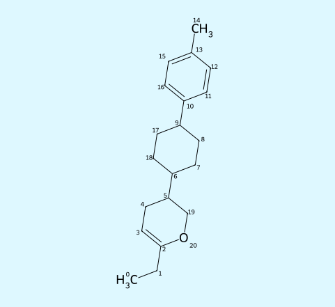 CCC1=CCC(C2CCC(c3ccc(C)cc3)CC2)CO1